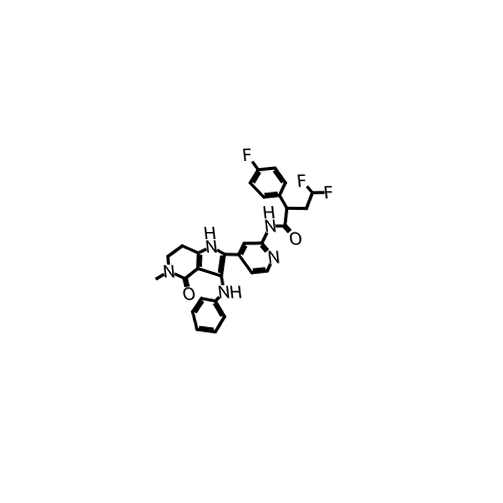 CN1CCc2[nH]c(-c3ccnc(NC(=O)C(CC(F)F)c4ccc(F)cc4)c3)c(Nc3ccccc3)c2C1=O